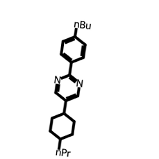 CCCCc1ccc(-c2ncc(C3CCC(CCC)CC3)cn2)cc1